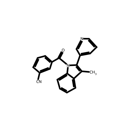 Cc1c(-c2cccnc2)n(C(=O)c2cccc(C#N)c2)c2ccccc12